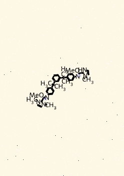 CO/C(=N\c1ccc(C(C)(C)c2cccc(C(C)(C)c3ccc(/N=C(\OC)c4n(C)cc[n+]4C)cc3)c2)cc1)c1[nH]cc[n+]1C